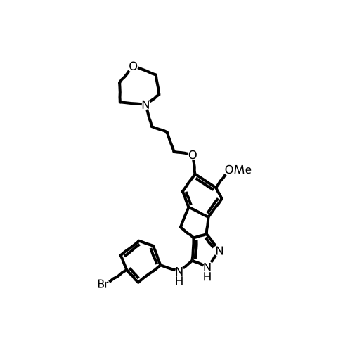 COc1cc2c(cc1OCCCN1CCOCC1)Cc1c-2n[nH]c1Nc1cccc(Br)c1